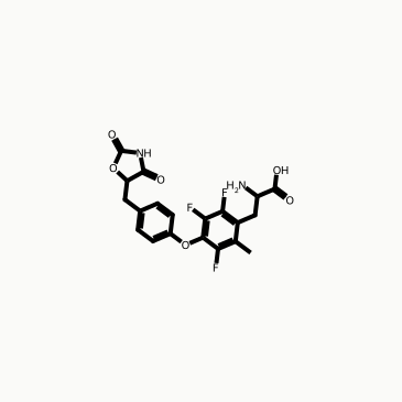 Cc1c(F)c(Oc2ccc(CC3OC(=O)NC3=O)cc2)c(F)c(F)c1CC(N)C(=O)O